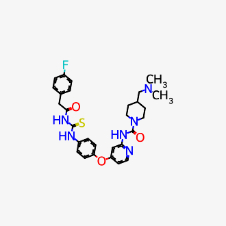 CN(C)CC1CCN(C(=O)Nc2cc(Oc3ccc(NC(=S)NC(=O)Cc4ccc(F)cc4)cc3)ccn2)CC1